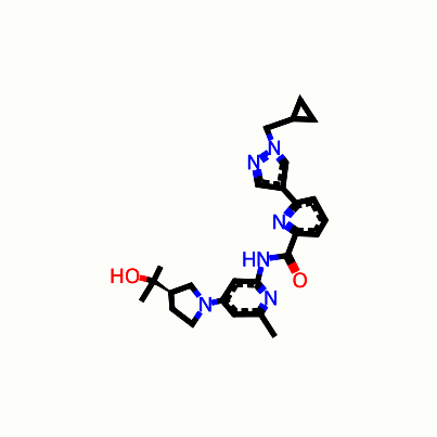 Cc1cc(N2CC[C@@H](C(C)(C)O)C2)cc(NC(=O)c2cccc(-c3cnn(CC4CC4)c3)n2)n1